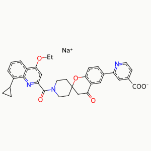 CCOc1cc(C(=O)N2CCC3(CC2)CC(=O)c2cc(-c4cc(C(=O)[O-])ccn4)ccc2O3)nc2c(C3CC3)cccc12.[Na+]